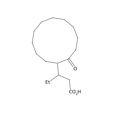 CCC(CC(=O)O)C1CCCCCCCCCCC1=O